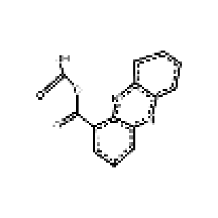 O=C(O)OC(=O)c1cccc2nc3ccccc3nc12